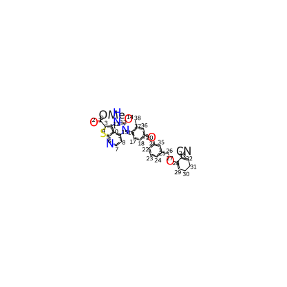 COC(=O)c1sc2nccc3c2c1NC(=O)N3c1ccc(Oc2cccc(COC3=CCCC=C3C#N)c2)cc1C